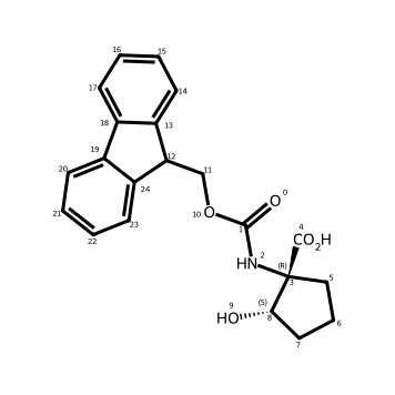 O=C(N[C@]1(C(=O)O)CCC[C@@H]1O)OCC1c2ccccc2-c2ccccc21